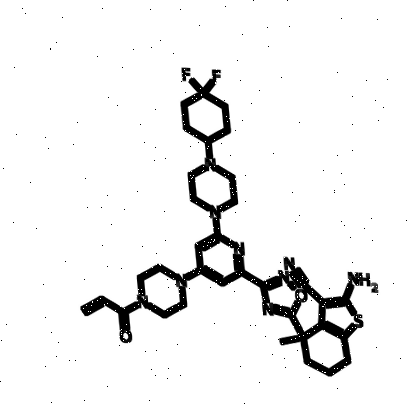 C=CC(=O)N1CCN(c2cc(-c3noc(C4(C)CCCc5sc(N)c(C#N)c54)n3)nc(N3CCN(C4CCC(F)(F)CC4)CC3)c2)CC1